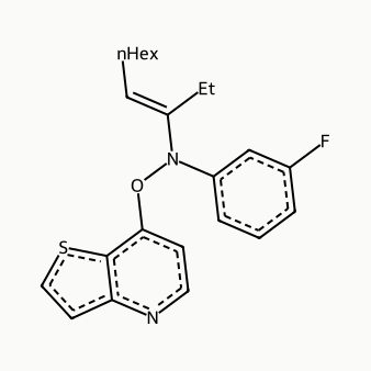 CCCCCCC=C(CC)N(Oc1ccnc2ccsc12)c1cccc(F)c1